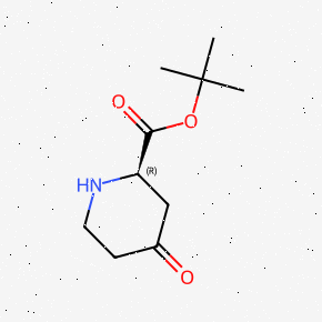 CC(C)(C)OC(=O)[C@H]1CC(=O)CCN1